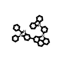 c1ccc(-c2nc3cc(-c4cc5ccc6cccc7c6c5c(c4)n7-c4cccc(-n5c6ccccc6c6ccccc65)c4)ccc3n2-c2ccccc2)cc1